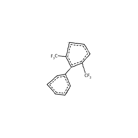 FC(F)(F)c1[c]ccc(C(F)(F)F)c1-c1ccccc1